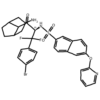 NC1CC2CCC(C1)C2C(=O)[C@@H](NS(=O)(=O)c1ccc2cc(Oc3ccccn3)ccc2c1)C(F)(F)c1ccc(Br)cc1